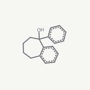 OC1(c2ccccc2)CCCCc2ccccc21